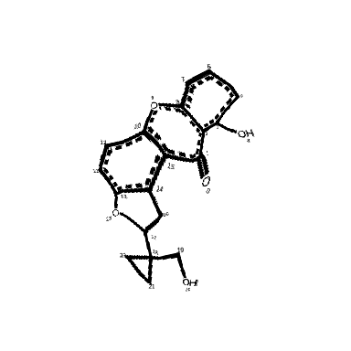 O=c1c2c(O)cccc2oc2ccc3c(c12)CC(C1(CO)CC1)O3